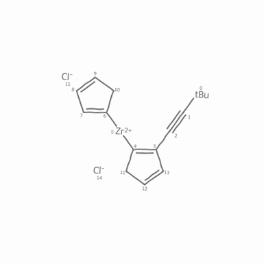 CC(C)(C)C#CC1=[C]([Zr+2][C]2=CC=CC2)CC=C1.[Cl-].[Cl-]